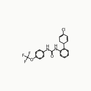 O=C(Nc1ccc(OC(F)(F)F)cc1)Nc1ccccc1C1C=CC(Cl)=CC1